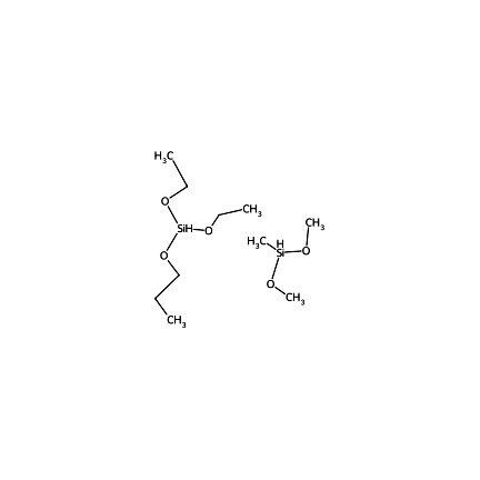 CCCO[SiH](OCC)OCC.CO[SiH](C)OC